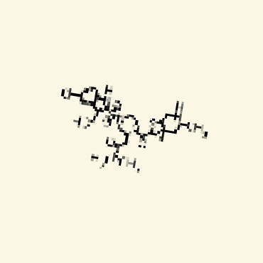 CC1Cc2nc(C(=O)N3CCN(S(=O)(=O)c4[nH]c5ccc(Cl)cc5c4CO)CC3CC(=O)N(C)C)sc2CN1